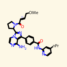 CCCc1ccnc(NC(=O)c2ccc(-c3nc(C4CCCN4C(=O)/C=C/COC)n4ccnc(N)c34)cc2)c1